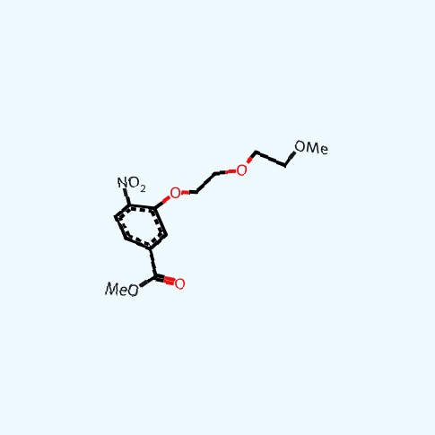 COCCOCCOc1cc(C(=O)OC)ccc1[N+](=O)[O-]